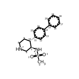 CS(=O)(=O)N[C@H]1CNCC[C@@H]1c1ccc(-c2ccccc2)cc1